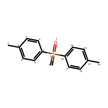 C=S(=O)(c1ccc(C)cc1)c1ccc(C)cc1